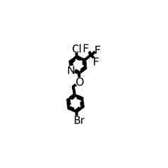 FC(F)(F)c1cc(OCc2ccc(Br)cc2)ncc1Cl